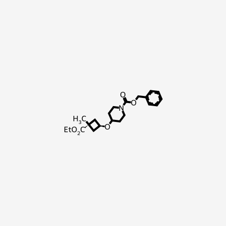 CCOC(=O)[C@]1(C)C[C@@H](OC2CCN(C(=O)OCc3ccccc3)CC2)C1